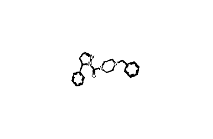 O=C(N1CCN(Cc2ccccc2)CC1)N1N=CCC1c1ccccc1